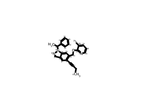 CCC#Cc1cc2cnn(C(C)c3ccccc3)c2cc1COc1ncccc1I